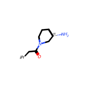 CC(C)CC(=O)N1CCC[C@H](N)C1